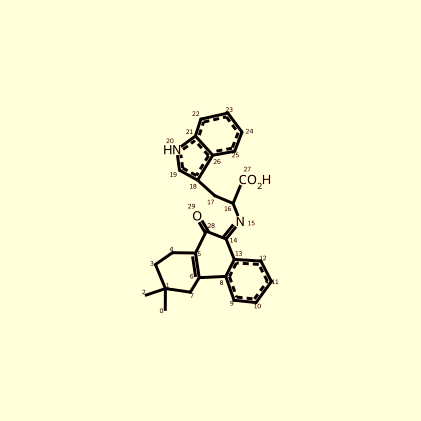 CC1(C)CCC2=C(C1)c1ccccc1/C(=N/C(Cc1c[nH]c3ccccc13)C(=O)O)C2=O